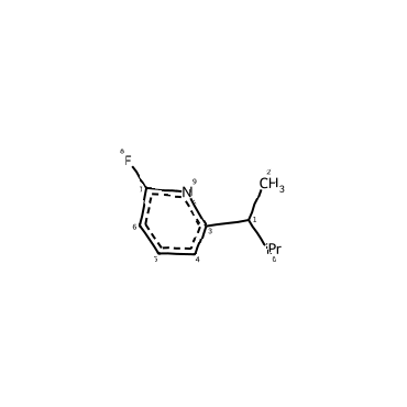 CC(C)C(C)c1cccc(F)n1